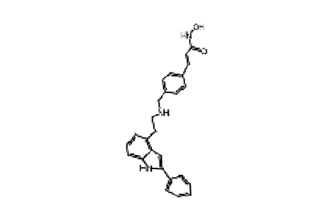 O=C(/C=C/c1ccc(CNCCc2cccc3[nH]c(-c4ccccc4)cc23)cc1)NO